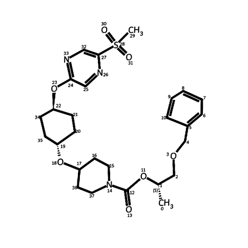 C[C@@H](COCc1ccccc1)OC(=O)N1CCC(O[C@H]2CC[C@H](Oc3cnc(S(C)(=O)=O)cn3)CC2)CC1